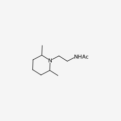 CC(=O)NCCN1C(C)CCCC1C